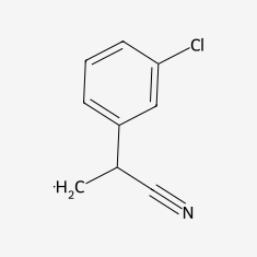 [CH2]C(C#N)c1cccc(Cl)c1